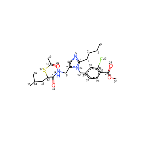 CCCCc1ncc(CNC(=O)C(CC(C)C)SC(C)=O)n1Cc1ccc(C(=O)OC)c(F)c1